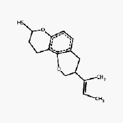 C/C=C(\C)C1COc2c(ccc3c2CCC(S)O3)C1